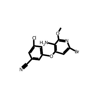 COc1nc(Br)cc(Oc2cc(Cl)cc(C#N)c2)c1N